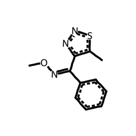 CON=C(c1ccccc1)c1nnsc1C